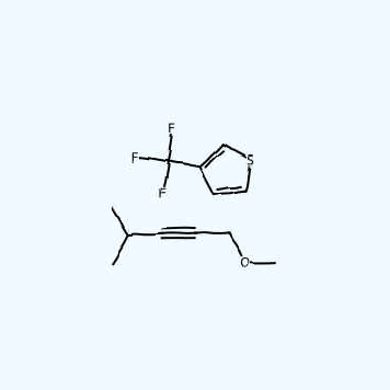 COCC#CC(C)C.FC(F)(F)c1ccsc1